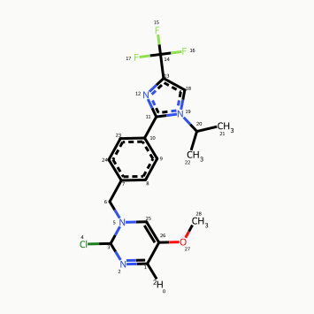 [2H]C1=NC(Cl)N(Cc2ccc(-c3nc(C(F)(F)F)cn3C(C)C)cc2)C=C1OC